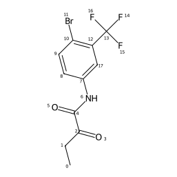 CCC(=O)C(=O)Nc1ccc(Br)c(C(F)(F)F)c1